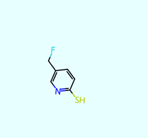 FCc1ccc(S)nc1